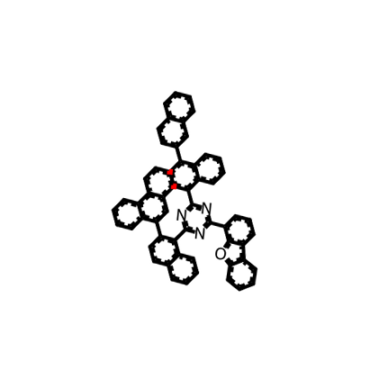 c1ccc2cc(-c3ccc(-c4nc(-c5c(-c6cc7ccccc7c7ccccc67)ccc6ccccc56)nc(-c5cccc6c5oc5ccccc56)n4)c4ccccc34)ccc2c1